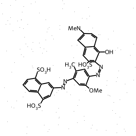 CNc1ccc2c(O)c(/N=N\c3cc(C)c(N=Nc4cc(S(=O)(=O)O)c5cccc(S(=O)(=O)O)c5c4)cc3OC)c(S(=O)(=O)O)cc2c1